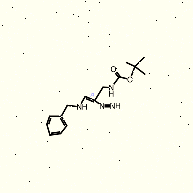 CC(C)(C)OC(=O)NC/C(=C/NCc1ccccc1)N=N